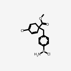 COC(=O)C1(Cc2ccc(N(N)Cl)cc2)C=CC(Cl)=CC1